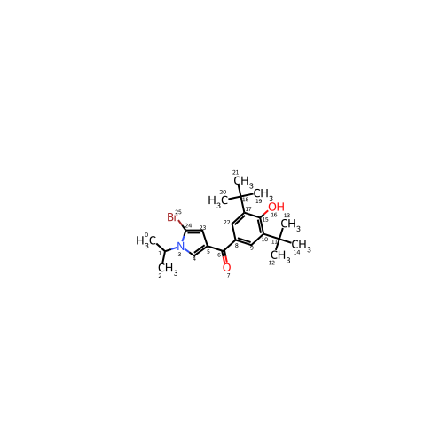 CC(C)n1cc(C(=O)c2cc(C(C)(C)C)c(O)c(C(C)(C)C)c2)cc1Br